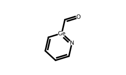 O=[CH][Ge]1=[N]C=CC=[CH]1